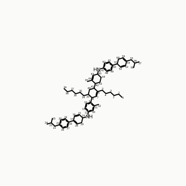 CCCCCCC1=CC(c2ccc(NC3C=CC(c4ccc(CC(C)C)cc4)=CC3)cc2C)C(CCCCCC)CC1C1CCC(Nc2ccc(C3C=CC(CC(C)C)=CC3)cc2)C=C1C